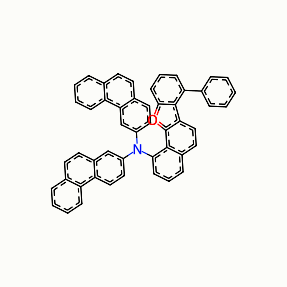 c1ccc(-c2cccc3oc4c(ccc5cccc(N(c6ccc7c(ccc8ccccc87)c6)c6ccc7ccc8ccccc8c7c6)c54)c23)cc1